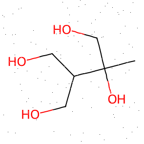 CC(O)(CO)C(CO)CO